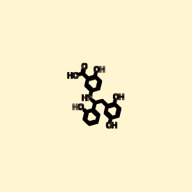 O=C(O)c1cc(NC(Cc2cc(O)ccc2O)c2ccccc2O)ccc1O